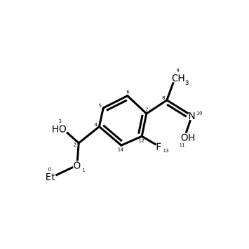 CCOC(O)c1ccc(/C(C)=N\O)c(F)c1